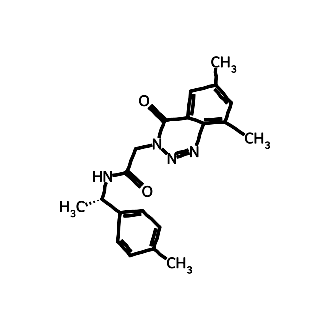 Cc1ccc([C@H](C)NC(=O)Cn2nnc3c(C)cc(C)cc3c2=O)cc1